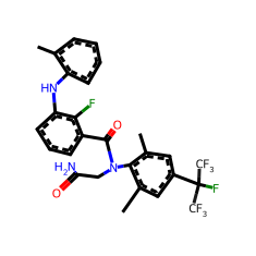 Cc1ccccc1Nc1cccc(C(=O)N(CC(N)=O)c2c(C)cc(C(F)(C(F)(F)F)C(F)(F)F)cc2C)c1F